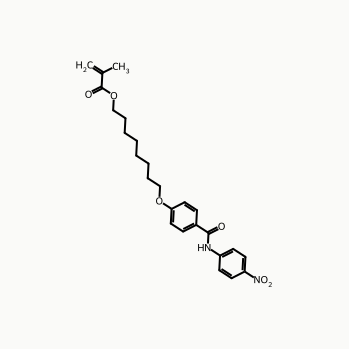 C=C(C)C(=O)OCCCCCCCCOc1ccc(C(=O)Nc2ccc([N+](=O)[O-])cc2)cc1